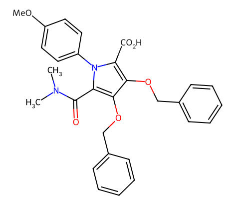 COc1ccc(-n2c(C(=O)O)c(OCc3ccccc3)c(OCc3ccccc3)c2C(=O)N(C)C)cc1